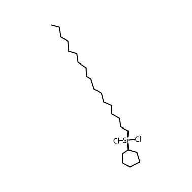 CCCCCCCCCCCCCCCCCC[Si](Cl)(Cl)C1CCCCC1